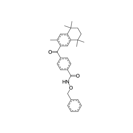 Cc1cc2c(cc1C(=O)c1ccc(C(=O)NOCc3ccccc3)cc1)C(C)(C)CCC2(C)C